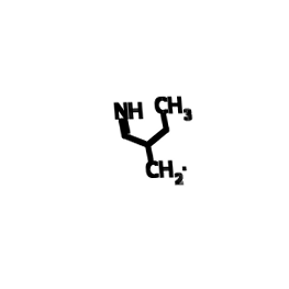 [CH2]C(C=N)CC